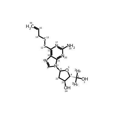 [2H]C([2H])(O)[C@H]1O[C@H](n2cnc3c(SSCC=C)nc(N)nc32)C[C@@H]1O